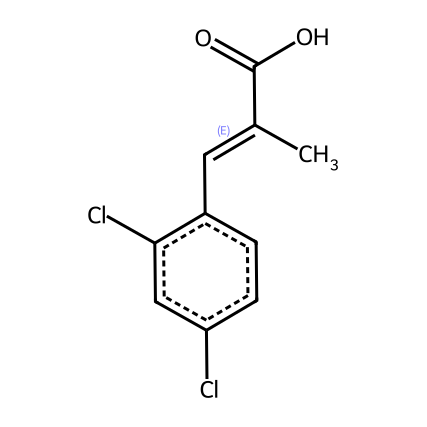 C/C(=C\c1ccc(Cl)cc1Cl)C(=O)O